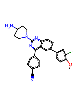 COc1ccc(-c2ccc3nc(N4CCC(N)CC4)nc(-c4ccc(C#N)cc4)c3c2)cc1F